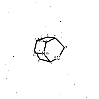 CC(=O)C1C2CCCCC(OC2)N1C